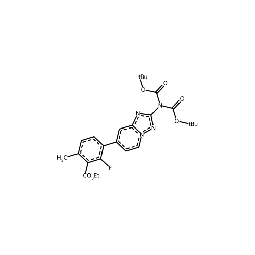 CCOC(=O)c1c(C)ccc(-c2ccn3nc(N(C(=O)OC(C)(C)C)C(=O)OC(C)(C)C)nc3c2)c1F